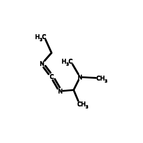 CCN=C=NC(C)N(C)C